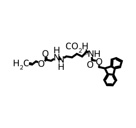 C=CCOC(=O)CNNCCCC[C@H](NC(=O)OCC1c2ccccc2-c2ccccc21)C(=O)O